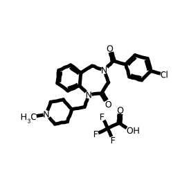 CN1CCC(CN2C(=O)CN(C(=O)c3ccc(Cl)cc3)Cc3ccccc32)CC1.O=C(O)C(F)(F)F